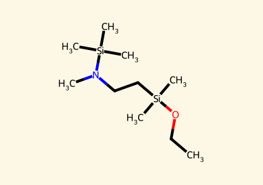 CCO[Si](C)(C)CCN(C)[Si](C)(C)C